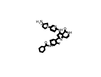 N[C@@H]1CCN(c2ccc(Nc3cc(-c4ccc(NC(=O)C5CCCCC5)cc4F)nc4cc[nH]c(=O)c34)nc2)C1